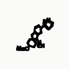 COC1CCC2(CC1)Cc1ccc(-c3cccnn3)cc1/C2=N/C#N